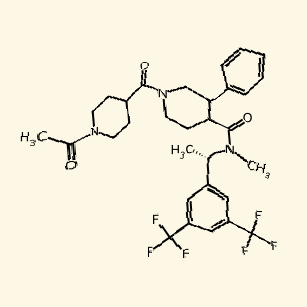 CC(=O)N1CCC(C(=O)N2CCC(C(=O)N(C)[C@@H](C)c3cc(C(F)(F)F)cc(C(F)(F)F)c3)C(c3ccccc3)C2)CC1